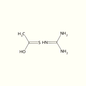 CC(O)=S.N=C(N)N